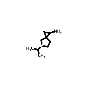 CC(C)N1CCC2(CC2N)C1